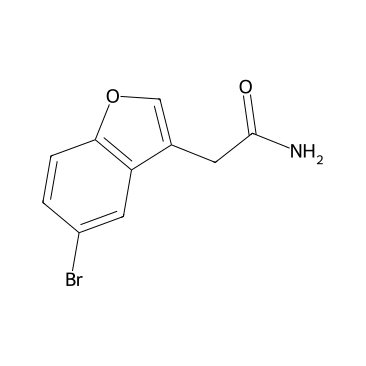 NC(=O)Cc1coc2ccc(Br)cc12